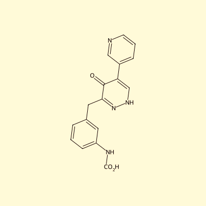 O=C(O)Nc1cccc(Cc2n[nH]cc(-c3cccnc3)c2=O)c1